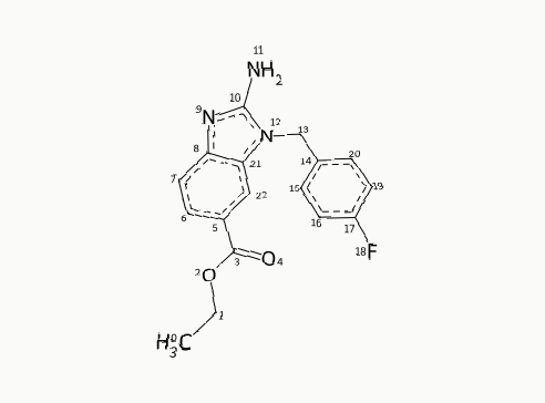 CCOC(=O)c1ccc2nc(N)n(Cc3ccc(F)cc3)c2c1